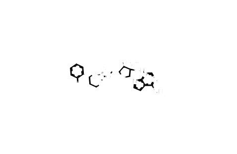 C[C@@]1(O)[C@H](O)[C@@H](COP2(=O)OCC[C@H](c3ccccc3F)O2)O[C@H]1n1ccc2c(N)ncnc21